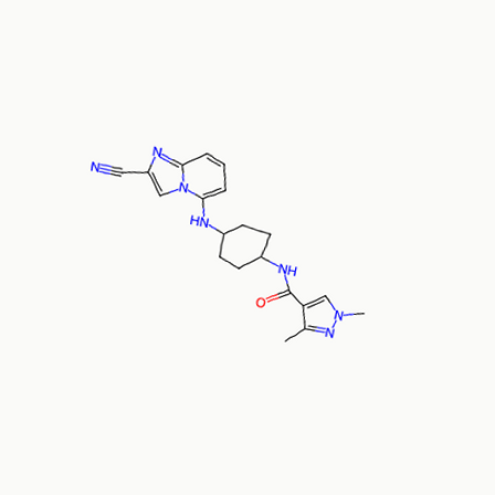 Cc1nn(C)cc1C(=O)NC1CCC(Nc2cccc3nc(C#N)cn23)CC1